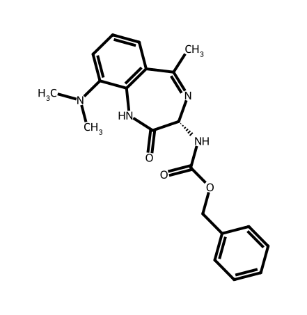 CC1=N[C@H](NC(=O)OCc2ccccc2)C(=O)Nc2c1cccc2N(C)C